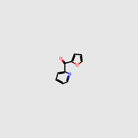 O=C(c1ccccn1)c1ccco1